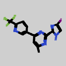 Cc1cc(-c2ccc(C(F)(F)F)nc2)nc(-c2nc(I)c[nH]2)n1